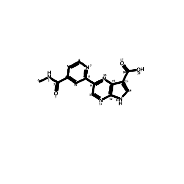 CNC(=O)c1ccnc(-c2cnc3[nH]cc(C(=O)O)c3n2)c1